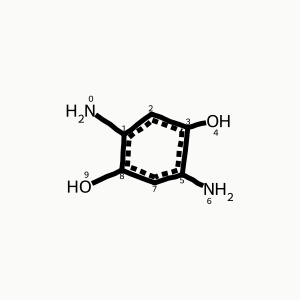 Nc1cc(O)c(N)cc1O